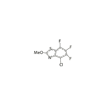 COc1nc2c(Cl)c(F)c(F)c(F)c2s1